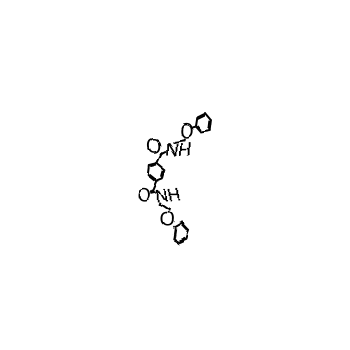 O=C(NCCOc1ccccc1)c1ccc(C(=O)NCCOc2ccccc2)cc1